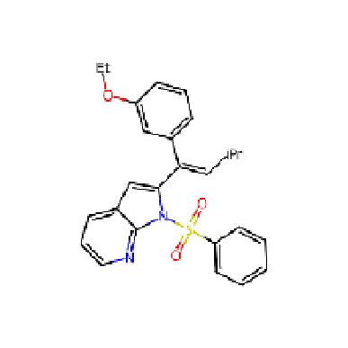 CCOc1cccc(/C(=C\C(C)C)c2cc3cccnc3n2S(=O)(=O)c2ccccc2)c1